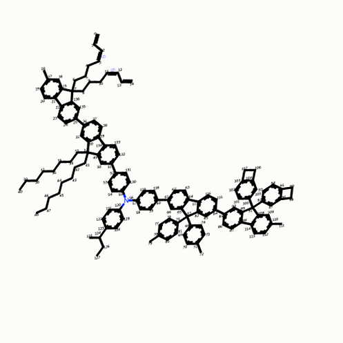 C=C/C=C\CCCC1(CCC/C=C\C=C)c2cc(C)ccc2-c2ccc(-c3ccc4c(c3)C(CCCCCCCC)(CCCCCCCC)c3cc(-c5ccc(N(c6ccc(-c7ccc8c(c7)C(c7ccc(C)cc7)(c7ccc(C)cc7)c7cc(-c9ccc%10c(c9)C(c9ccc%11c(c9)CC%11)(c9ccc%11c(c9)CC%11)c9cc(C)ccc9-%10)ccc7-8)cc6)c6ccc(C(C)CC)cc6)cc5)ccc3-4)cc21